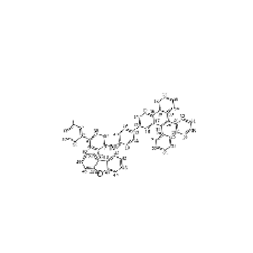 c1ccc(-c2ccc(N(c3ccc(-c4ccc5c(c4)c(-c4ccccc4)c(-c4ccccc4)c4ccccc45)cc3)c3cccc4oc5ccccc5c34)cc2)cc1